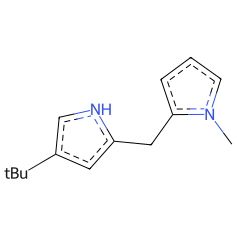 Cn1cccc1Cc1cc(C(C)(C)C)c[nH]1